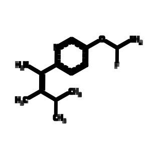 BC(F)Oc1ccc(/C(N)=C(/C)C(C)C)nc1